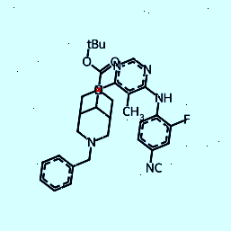 [C-]#[N+]c1ccc(Nc2ncnc(OC3C4CN(Cc5ccccc5)CC3CN(C(=O)OC(C)(C)C)C4)c2C)c(F)c1